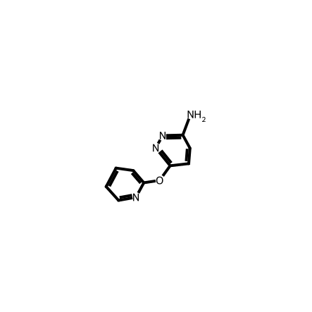 Nc1ccc(Oc2ccccn2)nn1